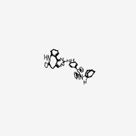 O=C1Cc2cnc(Nc3ccc(S(=O)(=O)N[C@@H]4CC5CC[C@@H]4C5)cc3)nc2-c2ccccc2N1